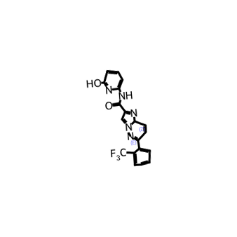 C/N=C(\C=C/C1N=CC(C(=O)Nc2cccc(O)n2)=N1)c1ccccc1C(F)(F)F